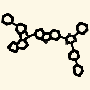 c1ccc(-c2ccc(-c3nc(-c4ccccc4)nc(-c4ccc5c(c4)oc4cc(-n6c7ccc(-c8ccccc8)cc7c7c8ccccc8ccc76)ccc45)n3)cc2)cc1